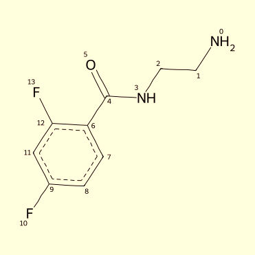 NCCNC(=O)c1ccc(F)cc1F